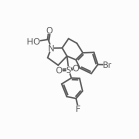 O=C(O)N1CCC2(S(=O)(=O)c3ccc(F)cc3)c3ccc(Br)cc3CCC12